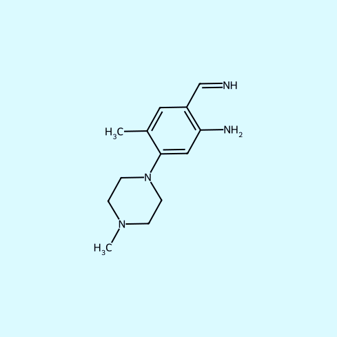 Cc1cc(C=N)c(N)cc1N1CCN(C)CC1